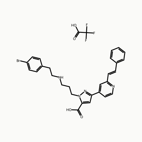 O=C(O)C(F)(F)F.O=C(O)c1cc(-c2ccnc(C=Cc3ccccc3)c2)nn1CCCNCCc1ccc(Br)cc1